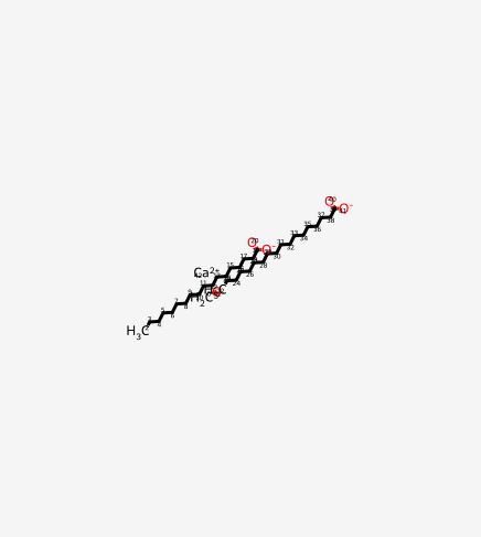 C=O.CCCCCCCCCCCCCCCCCC(=O)[O-].CCCCCCCCCCCCCCCCCC(=O)[O-].[Ca+2]